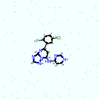 Fc1ccc(Cl)cc1-c1cc(Nc2ccncn2)n2ncnc2n1